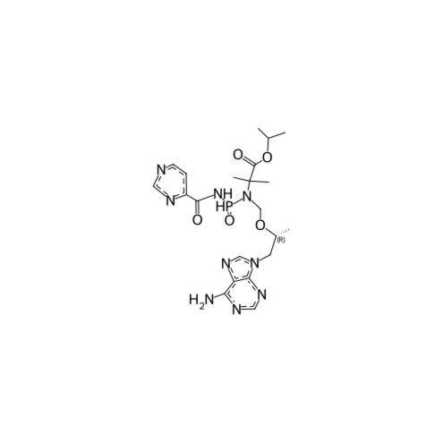 CC(C)OC(=O)C(C)(C)N(CO[C@H](C)Cn1cnc2c(N)ncnc21)[PH](=O)NC(=O)c1ccncn1